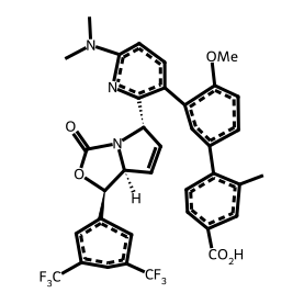 COc1ccc(-c2ccc(C(=O)O)cc2C)cc1-c1ccc(N(C)C)nc1[C@@H]1C=C[C@H]2[C@@H](c3cc(C(F)(F)F)cc(C(F)(F)F)c3)OC(=O)N12